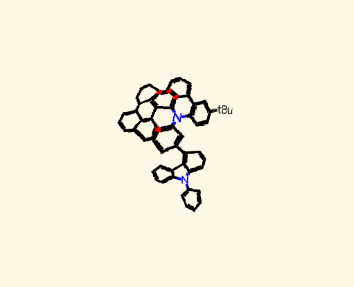 CC(C)(C)c1ccc(N(c2cccc(-c3cccc4c3c3ccccc3n4-c3ccccc3)c2)c2ccccc2-c2cccc3cccc(C4CCCCC4)c23)c(-c2ccccc2)c1